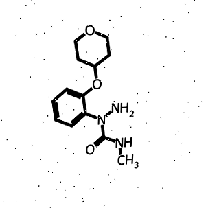 CNC(=O)N(N)c1ccccc1OC1CCOCC1